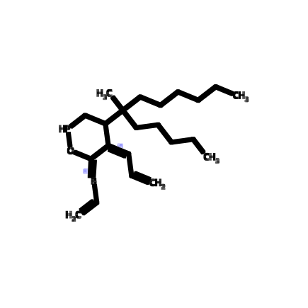 C=C/B=C1/OPCC(C(C)(CCCCC)CCCCCC)/C1=C/C=C